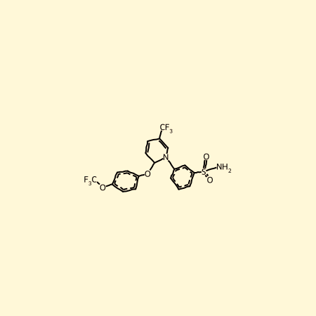 NS(=O)(=O)c1cccc(N2C=C(C(F)(F)F)C=CC2Oc2ccc(OC(F)(F)F)cc2)c1